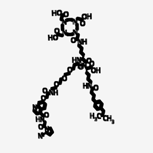 CC(C)Cc1ccc(CCCC(=O)NCCCC[C@H](NC(=O)[C@H](CCCCNC(=O)CN2CCN(CC(=O)O)CCN(CC(=O)O)CCN(CC(=O)O)CC2)NC(=O)CCOCCOCCOCCNC(=O)COc2ccc3c(C(=O)NCC(=O)N4CCC[C@H]4C#N)ccnc3c2)C(=O)O)cc1